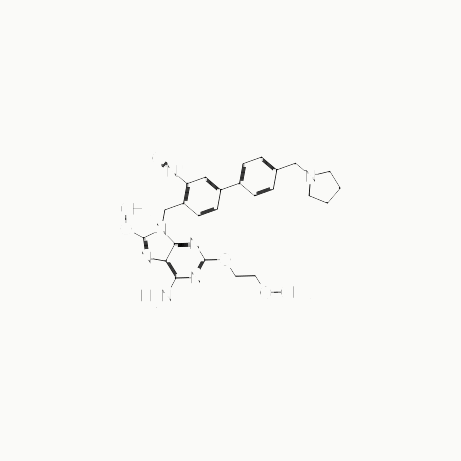 [C-]#[N+]c1cc(-c2ccc(CN3CCCC3)cc2)ccc1Cn1c(OC)nc2c(N)nc(OCCOC)nc21